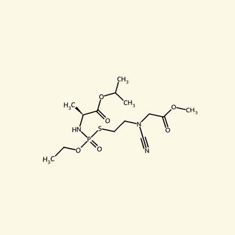 CCOP(=O)(N[C@@H](C)C(=O)OC(C)C)SCCN(C#N)CC(=O)OC